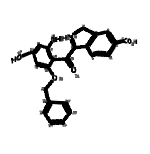 O=C(O)c1ccc2c(c1)CNC2C(=O)c1c(O)cc(O)cc1OCc1ccccc1